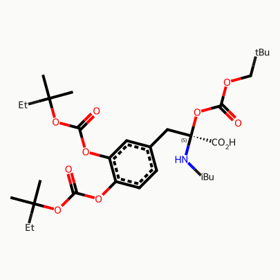 CCC(C)N[C@@](Cc1ccc(OC(=O)OC(C)(C)CC)c(OC(=O)OC(C)(C)CC)c1)(OC(=O)OCC(C)(C)C)C(=O)O